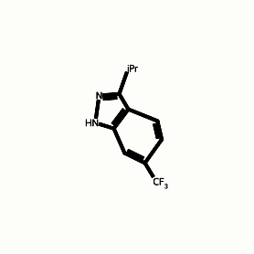 CC(C)c1n[nH]c2cc(C(F)(F)F)ccc12